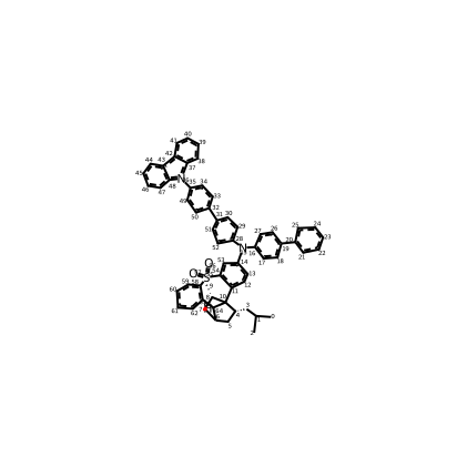 CC(C)C[C@@H]1CC2C[C@H](C)C13c1ccc(N(c4ccc(-c5ccccc5)cc4)c4ccc(-c5ccc(-n6c7ccccc7c7ccccc76)cc5)cc4)cc1S(=O)(=O)c1ccccc1[C@H]23